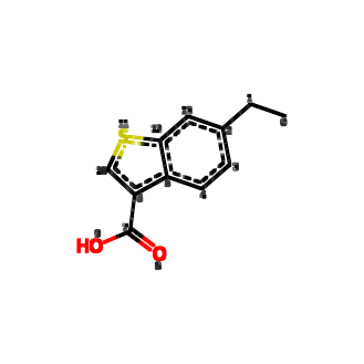 CCc1ccc2c(C(=O)O)csc2c1